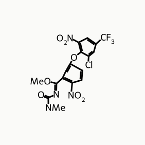 CNC(=O)N=C(OC)c1cc(Oc2c(Cl)cc(C(F)(F)F)cc2[N+](=O)[O-])ccc1[N+](=O)[O-]